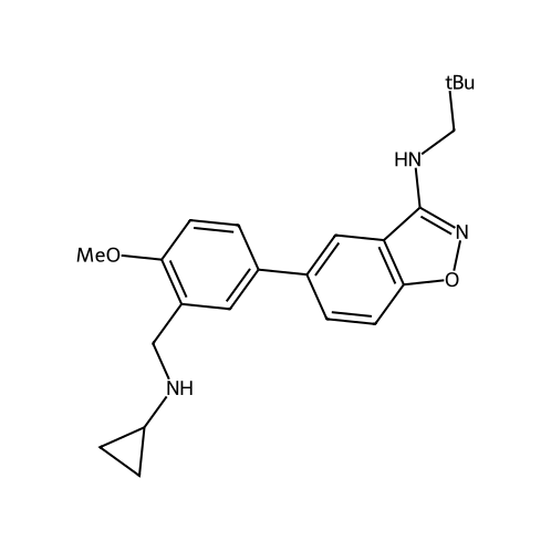 COc1ccc(-c2ccc3onc(NCC(C)(C)C)c3c2)cc1CNC1CC1